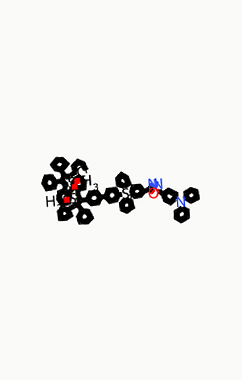 C[Si]1(CC[Si]2(C)C(c3ccccc3)=C(c3ccccc3)C(c3ccc(-c4ccc([Si](c5ccccc5)(c5ccccc5)c5ccc(-c6nnc(-c7ccc(N(c8ccccc8)c8ccccc8)cc7)o6)cc5)cc4)cc3)=C2c2ccccc2)C(c2ccccc2)=C(c2ccccc2)C(c2ccccc2)=C1c1ccccc1